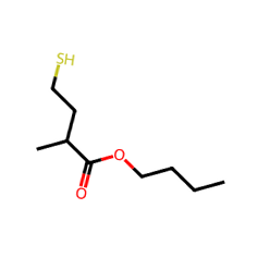 CCCCOC(=O)C(C)CCS